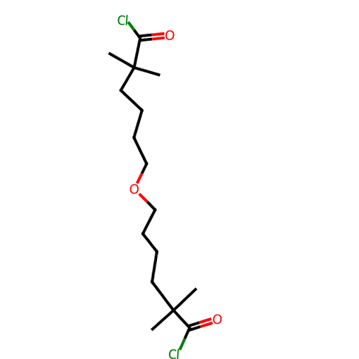 CC(C)(CCCCOCCCCC(C)(C)C(=O)Cl)C(=O)Cl